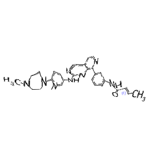 C/C=C/C(=O)Nc1cccc(-c2nccc3cnc(Nc4ccc(N5CCN(C)CC5)nc4)nc23)c1